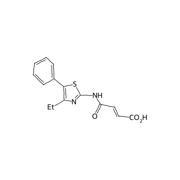 CCc1nc(NC(=O)C=CC(=O)O)sc1-c1ccccc1